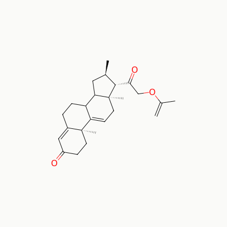 C=C(C)OCC(=O)[C@H]1[C@H](C)CC2C3CCC4=CC(=O)CC[C@]4(C)C3=CC[C@@]21C